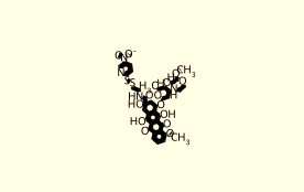 COc1cccc2c1C(=O)c1c(O)c3c(c(O)c1C2=O)C[C@@](O)(C(=O)NCCSSc1ccc([N+](=O)[O-])cn1)C[C@@H]3O[C@H]1C[C@H]2[C@H](O[C@@H]3[C@@H](OC)OCCN32)[C@H](C)O1